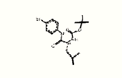 CC(C)C[C@@H](NC(=O)OC(C)(C)C)C(=O)Nc1ccc(Br)cc1